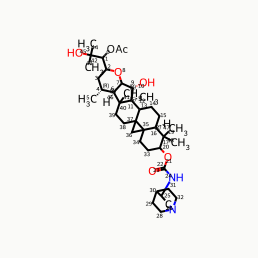 CC(=O)OC(C1C[C@@H](C)[C@H]2C(O1)[C@H](O)[C@@]1(C)C3CC[C@H]4C(C)(C)C(OC(=O)NC5CN6CCC5CC6)CCC45CC35CCC21C)C(C)(C)O